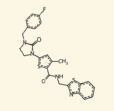 Cc1cc(N2CCN(Cc3ccc(F)cc3)C2=O)sc1C(=O)NCc1nc2ccccc2s1